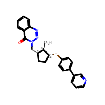 O=C(O)[C@@H]1[C@@H](Cn2nnc3ccccc3c2=O)CC[C@H]1Sc1ccc(-c2cccnc2)cc1